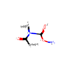 CCCCCCCC(=O)N(CCCCCCC)C(=O)ON